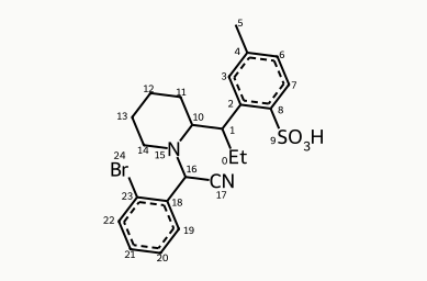 CCC(c1cc(C)ccc1S(=O)(=O)O)C1CCCCN1C(C#N)c1ccccc1Br